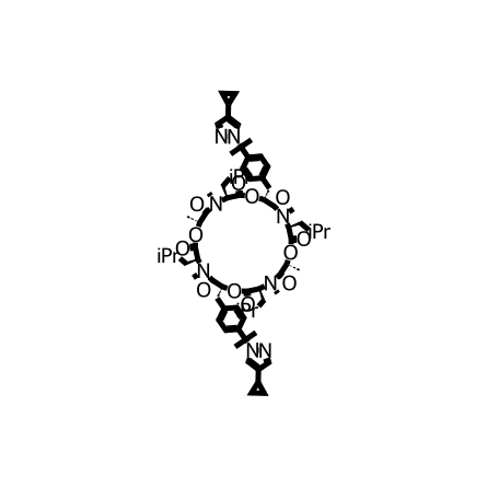 CC(C)C[C@H]1C(=O)O[C@H](Cc2ccc(C(C)(C)n3cc(C4CC4)cn3)cc2)C(=O)N(C)[C@@H](CC(C)C)C(=O)O[C@H](C)C(=O)N(C)[C@@H](CC(C)C)C(=O)O[C@H](Cc2ccc(C(C)(C)n3cc(C4CC4)cn3)cc2)C(=O)N(C)[C@@H](CC(C)C)C(=O)O[C@H](C)C(=O)N1C